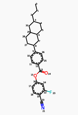 CCCC1CCC2CC(c3ccc(C(=O)Oc4ccc(C#N)c(F)c4)cc3)CCC2C1